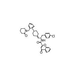 O=C(N[C@@H](C=C1CCC(c2ccccc2CN2CCCCC2=O)CC1)Cc1ccc(Cl)cc1)c1cc(=O)c2ccccc2o1